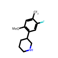 COc1cc(C(F)(F)F)c(F)cc1C1CCCNC1